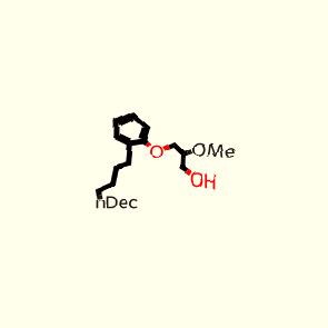 CCCCCCCCCCCCCCc1ccccc1OCC(CO)OC